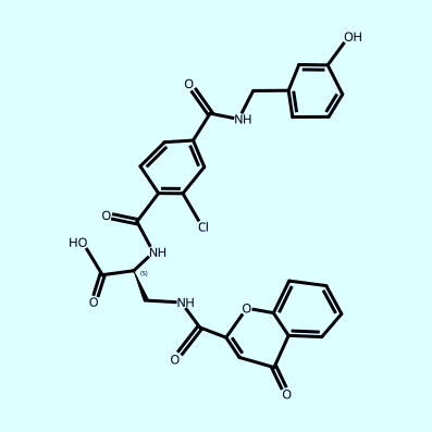 O=C(NCc1cccc(O)c1)c1ccc(C(=O)N[C@@H](CNC(=O)c2cc(=O)c3ccccc3o2)C(=O)O)c(Cl)c1